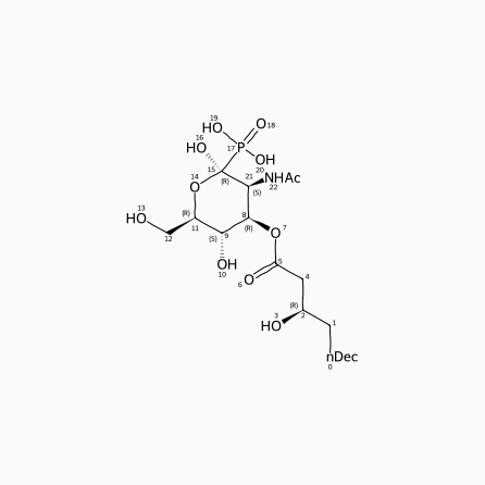 CCCCCCCCCCC[C@@H](O)CC(=O)O[C@H]1[C@H](O)[C@@H](CO)O[C@@](O)(P(=O)(O)O)[C@H]1NC(C)=O